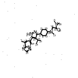 Cc1cc(-c2[nH]nc(C3CCC(N(C)CC(=O)N(C)C)CC3)c2C(C)C)cn2ncnc12